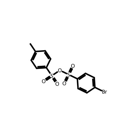 Cc1ccc(S(=O)(=O)OS(=O)(=O)c2ccc(Br)cc2)cc1